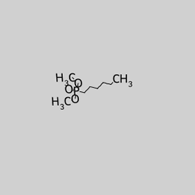 CCCCCCP(=O)(OC)OC